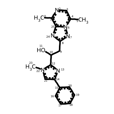 Cc1ncc(C)n2nc(CC(O)c3nc(-c4ccccc4)cn3C)nc12